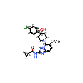 COc1ccc2nc(NC(=O)C3CC3)nn2c1N1CCC(O)(c2ccc(Cl)cc2)CC1